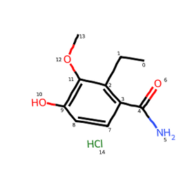 CCc1c(C(N)=O)ccc(O)c1OC.Cl